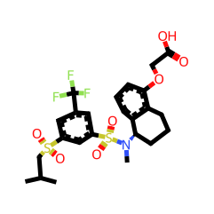 CC(C)CS(=O)(=O)c1cc(C(F)(F)F)cc(S(=O)(=O)N(C)[C@@H]2CCCc3c(OCC(=O)O)cccc32)c1